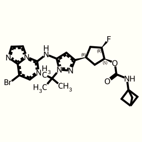 CC(C)(C)n1nc([C@H]2C[C@@H](F)[C@@H](OC(=O)NC34CC(C3)C4)C2)cc1Nc1ncc(Br)c2nccn12